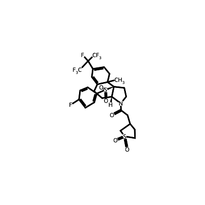 CC12CC=C(C(F)(C(F)(F)F)C(F)(F)F)C=C1CC[C@H]1N(C(=O)CC3CCS(=O)(=O)C3)CC[C@]12S(=O)(=O)c1ccc(F)cc1